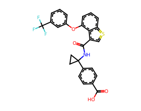 O=C(O)c1ccc(C2(NC(=O)c3csc4cccc(Oc5cccc(C(F)(F)F)c5)c34)CC2)cc1